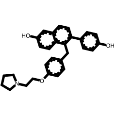 Oc1ccc(-c2ccc3cc(O)ccc3c2Cc2ccc(OCCN3CCCC3)cc2)cc1